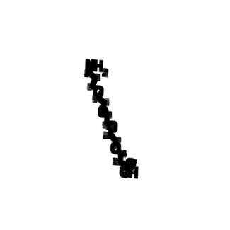 NCCCOCCOCCOCCOCCC(=O)O